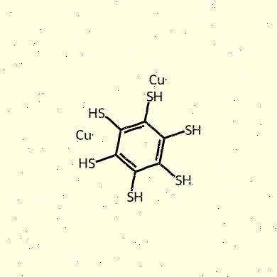 Sc1c(S)c(S)c(S)c(S)c1S.[Cu].[Cu]